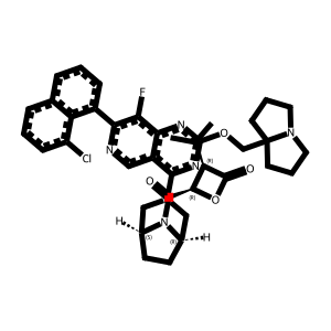 CC(C)[C@H]1C(=O)O[C@H]1C(=O)N1[C@@H]2CC[C@H]1CN(c1nc(OCC34CCCN3CCC4)nc3c(F)c(-c4cccc5cccc(Cl)c45)ncc13)C2